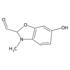 CN1c2ccc(O)cc2OC1C=O